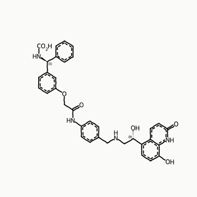 O=C(O)N[C@@H](c1ccccc1)c1cccc(OCC(=O)Nc2ccc(CNC[C@H](O)c3ccc(O)c4[nH]c(=O)ccc34)cc2)c1